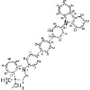 CC1(C)CCN(c2ccc(-c3ccc(-c4ccc(-n5c6ccccc6c6ccccc65)cc4)cc3)cc2)c2ccccc21